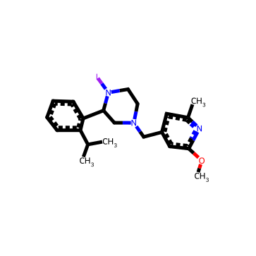 COc1cc(CN2CCN(I)C(c3ccccc3C(C)C)C2)cc(C)n1